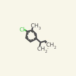 [CH2]C(C=C)c1ccc(Cl)c(C)c1